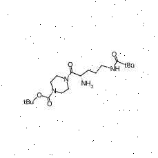 CC(C)(C)OC(=O)N1CCN(C(=O)[C@@H](N)CCCNC(=O)C(C)(C)C)CC1